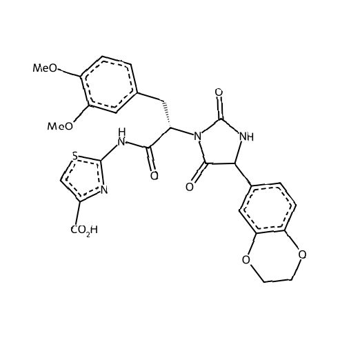 COc1ccc(C[C@@H](C(=O)Nc2nc(C(=O)O)cs2)N2C(=O)NC(c3ccc4c(c3)OCCO4)C2=O)cc1OC